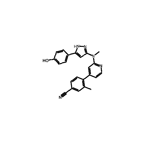 Cc1cc(C#N)ccc1-c1ccnc(N(C)c2cc(-c3ccc(O)cc3)[nH]n2)c1